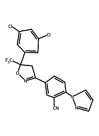 N#Cc1cc(C2=NOC(c3cc(Cl)cc(Cl)c3)(C(F)(F)F)C2)ccc1-n1cccn1